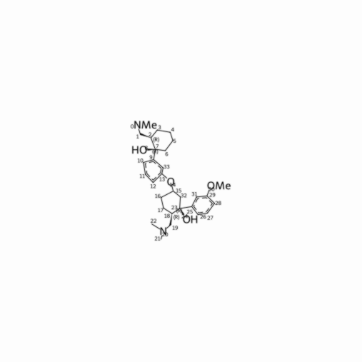 CNC[C@H]1CCCC[C@]1(O)c1cccc(OC2CC[C@H](CN(C)C)[C@@](O)(c3cccc(OC)c3)C2)c1